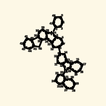 c1ccc(-n2c3ccc(-c4ccc5c(c4)c4ccccc4n5-c4cccc5ccccc45)cc3c3c4c(ccc32)-c2ccccc2C4)cc1